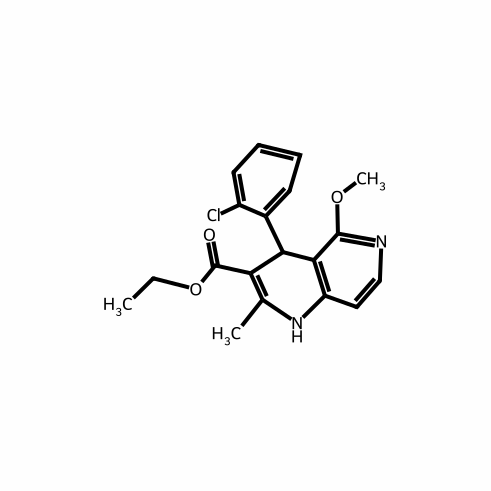 CCOC(=O)C1=C(C)Nc2ccnc(OC)c2C1c1ccccc1Cl